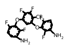 Nc1ccc(F)c(Oc2cc(Oc3c(F)ccc(N)c3F)c(C(F)(F)F)c(F)c2F)c1F